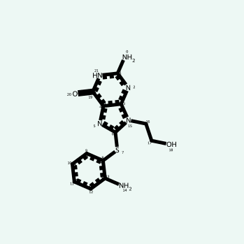 Nc1nc2c(nc(Sc3ccccc3N)n2CCO)c(=O)[nH]1